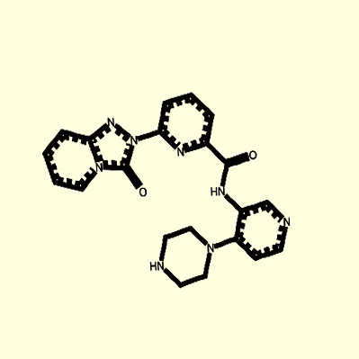 O=C(Nc1cnccc1N1CCNCC1)c1cccc(-n2nc3ccccn3c2=O)n1